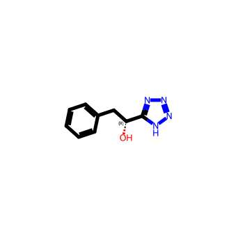 O[C@H](Cc1ccccc1)c1nnn[nH]1